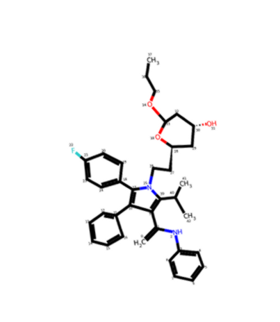 C=C(Nc1ccccc1)c1c(-c2ccccc2)c(-c2ccc(F)cc2)n(CC[C@@H]2C[C@@H](O)CC(OCCC)O2)c1C(C)C